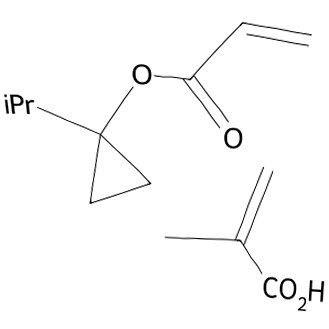 C=C(C)C(=O)O.C=CC(=O)OC1(C(C)C)CC1